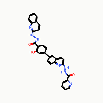 O=C(NNc1ccc2cc(-c3ccc(C(=O)NNc4ccc5ccccc5n4)c(O)c3)ccc2n1)c1ccccn1